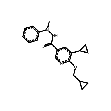 CN(NC(=O)c1cnc(OCC2CC2)c(C2CC2)c1)c1ccccc1